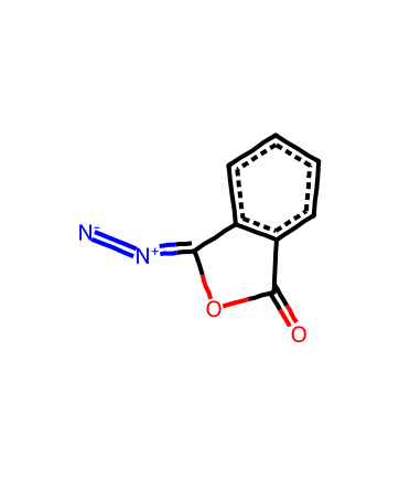 [N-]=[N+]=C1OC(=O)c2ccccc21